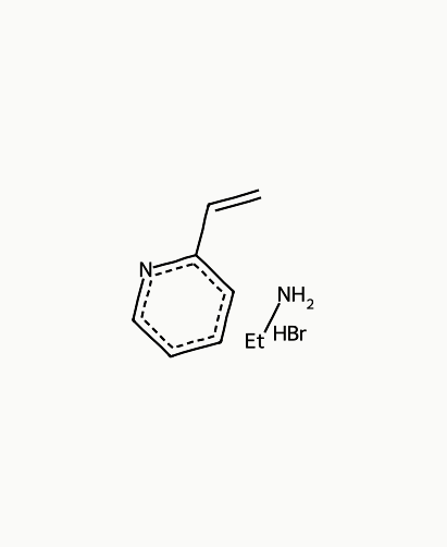 Br.C=Cc1ccccn1.CCN